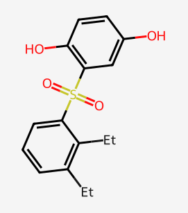 CCc1cccc(S(=O)(=O)c2cc(O)ccc2O)c1CC